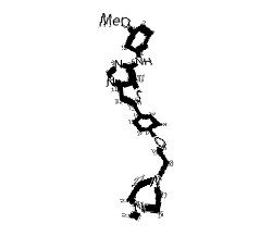 COc1cccc(Nc2ncnc3cc(-c4ccc(OCCN5CCN(C)CC5)cc4)sc23)c1